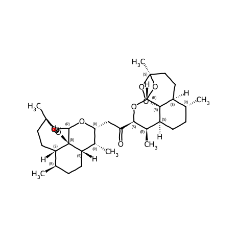 C[C@H]1[C@@H](C(=O)C[C@H]2O[C@@H]3OC4(C)CC[C@H]5[C@H](C)CC[C@@H]([C@H]2C)[C@@]35OO4)O[C@@H]2O[C@]3(C)CC[C@H]4[C@H](C)CC[C@@H]1[C@@]24OO3